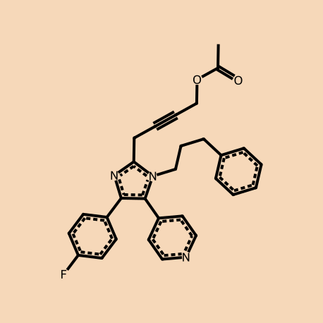 CC(=O)OCC#CCc1nc(-c2ccc(F)cc2)c(-c2ccncc2)n1CCCc1ccccc1